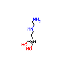 NCCNCCC[SiH](CO)CO